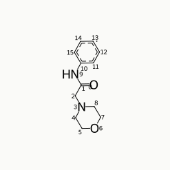 O=C(CN1CCOCC1)Nc1cc[c]cc1